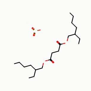 CCCCC(CC)COC(=O)CCC(=O)OCC(CC)CCCC.O=[S-](=O)O.[K+]